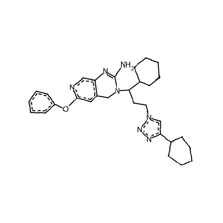 NC1=Nc2cnc(Oc3ccccc3)cc2CN1C(CCn1cc(C2CCCCC2)nn1)C1CCCCC1